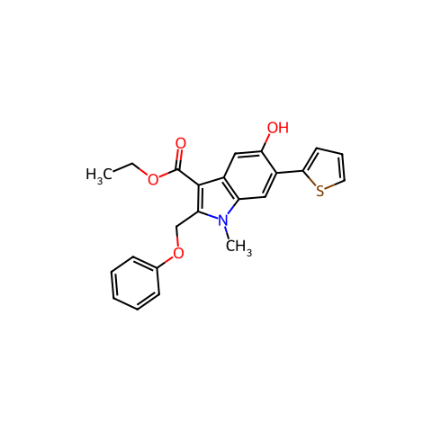 CCOC(=O)c1c(COc2ccccc2)n(C)c2cc(-c3cccs3)c(O)cc12